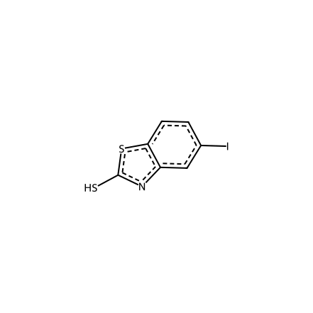 Sc1nc2cc(I)ccc2s1